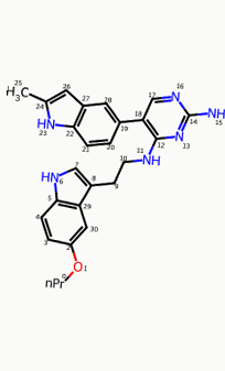 CCCOc1ccc2[nH]cc(CCNc3nc(N)ncc3-c3ccc4[nH]c(C)cc4c3)c2c1